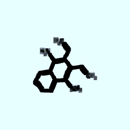 C=Cc1c(C=C)c(N)c2ccccc2c1N